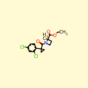 CCOC(=O)C1(C)CCN1C(=O)C1(c2ccc(Cl)cc2Cl)CC1